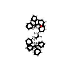 C[C@H](CN[C@@H]1CCCC[C@H]1NC(c1ccccc1)(c1ccccc1)c1ccccc1)N[C@@H]1CCCC[C@H]1NC(c1ccccc1)(c1ccccc1)c1ccccc1